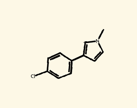 Cn1[c]c(-c2ccc(Cl)cc2)cc1